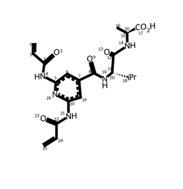 C=CC(=O)Nc1cc(C(=O)N[C@H](C(=O)N[C@@H](C)C(=O)O)C(C)C)cc(NC(=O)C=C)n1